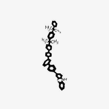 CC(C)(c1ccccc1)c1ccc(C(C)(C)c2ccc(-c3ccc(-c4cccc(-c5ccc(-c6ccc7c(c6)Sc6ccccc6N7)cc5)c4)cc3)cc2)cc1